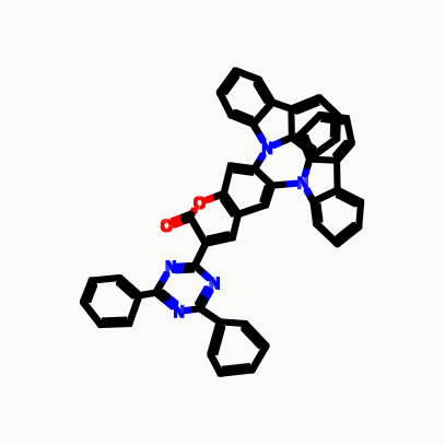 O=c1oc2cc(-n3c4ccccc4c4ccccc43)c(-n3c4ccccc4c4ccccc43)cc2cc1-c1nc(-c2ccccc2)nc(-c2ccccc2)n1